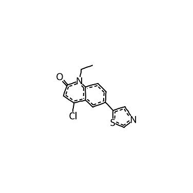 CCn1c(=O)cc(Cl)c2cc(-c3cncs3)ccc21